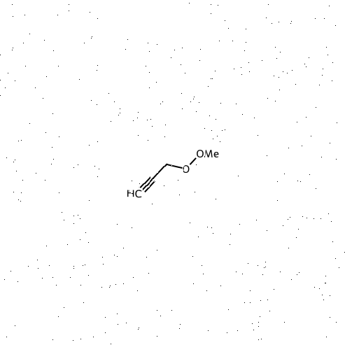 C#CCOOC